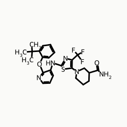 CC(C)(C)c1ccccc1Oc1ncccc1Nc1nc(C(F)(F)F)c(N2CCCC(C(N)=O)C2)s1